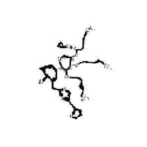 CCCCO[C@@H]1[C@@H](OCCCC)[C@H](c2ccc(Cl)c(Cc3ncc(-c4ccco4)s3)c2)O[C@H](C2(O)CC2)[C@H]1OCCCC